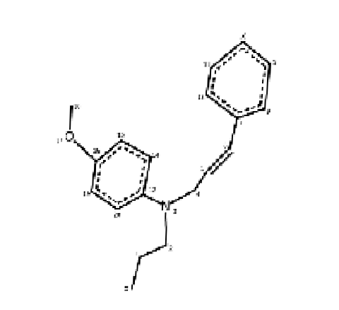 CCCN(C/C=C/c1ccccc1)c1ccc(OC)cc1